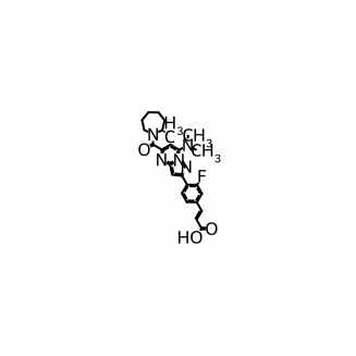 C[C@@H]1CCCCCN1C(=O)c1cc(N(C)C)n2nc(-c3ccc(/C=C/C(=O)O)cc3F)cc2n1